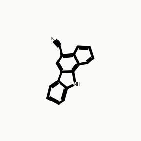 N#Cc1cc2c3ccccc3[nH]c2c2ccccc12